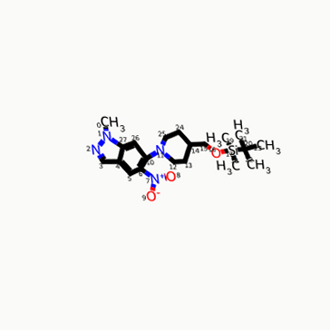 Cn1ncc2cc([N+](=O)[O-])c(N3CCC(CO[Si](C)(C)C(C)(C)C)CC3)cc21